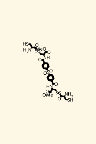 COC(=O)C(CSSC(=O)[C@@H](N)CS)NC(=O)c1ccc(S(=O)(=O)c2ccc(C(=O)NC(CSSC(=O)[C@@H](N)CS)C(=O)OC)cc2)cc1